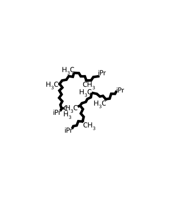 CC(C)CCCC(C)CCCC(C)CCCCC(C)CCCC(C)CCCC(C)C.CC(C)CCCC(C)CCCC(C)CCCCC(C)CCCCCCC(C)C(C)C